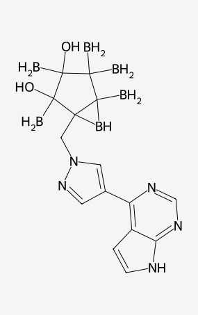 BC1(B)C(B)(O)C(B)(O)C2(Cn3cc(-c4ncnc5[nH]ccc45)cn3)BC12B